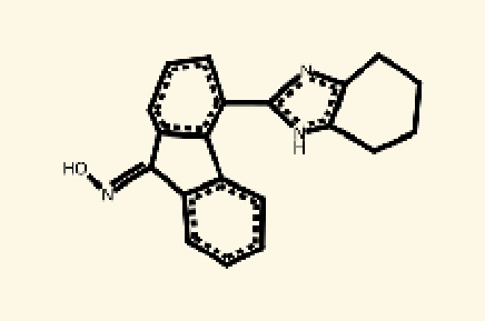 O/N=C1/c2ccccc2-c2c1cccc2-c1nc2c([nH]1)CCCC2